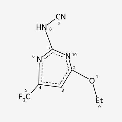 CCOc1cc(C(F)(F)F)nc(NC#N)n1